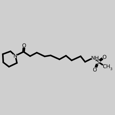 CS(=O)(=O)NCCCCCCCCCC(=O)N1CCCCC1